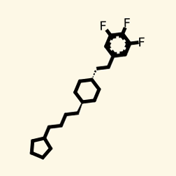 Fc1cc(CC[C@H]2CC[C@H](CCCCC3CCCC3)CC2)cc(F)c1F